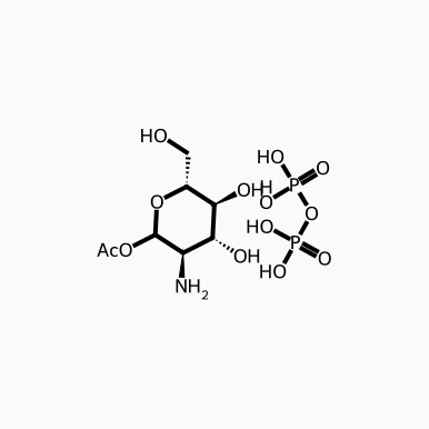 CC(=O)OC1O[C@H](CO)[C@@H](O)[C@H](O)[C@H]1N.O=P(O)(O)OP(=O)(O)O